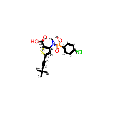 COP(=O)(c1ccc(Cl)cc1)N(C)c1cc(C#CC(C)(C)C)sc1C(=O)O